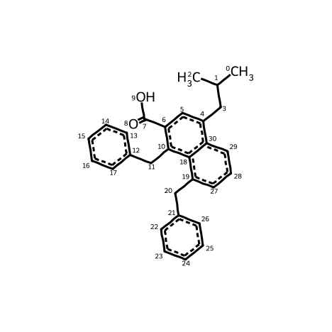 CC(C)Cc1cc(C(=O)O)c(Cc2ccccc2)c2c(Cc3ccccc3)cccc12